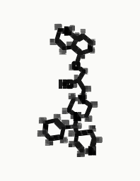 OC(COc1cccc2ncccc12)CN1CCN(C(c2ccccc2)c2ccncc2)CC1